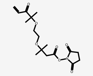 C=CC(=O)C(C)(C)OCCOC(C)(C)CC(=O)ON1C(=O)CCC1=O